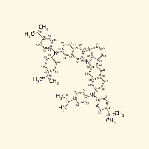 CC(C)c1ccc(N(c2ccc(C(C)C)cc2)c2ccc3cc4c5cccc6c7cc8ccc(N(c9ccc(C(C)C)cc9)c9ccc(C(C)C)cc9)cc8cc7n(c4cc3c2)c56)cc1